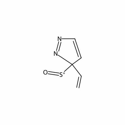 C=CC1([S+]=O)C=CN=N1